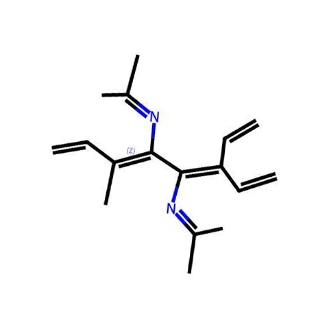 C=CC(C=C)=C(N=C(C)C)/C(N=C(C)C)=C(\C)C=C